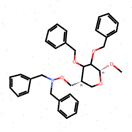 CO[C@@H]1OC[C@H](CON(Cc2ccccc2)Cc2ccccc2)C(OCc2ccccc2)C1OCc1ccccc1